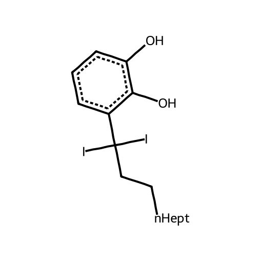 CCCCCCCCCC(I)(I)c1cccc(O)c1O